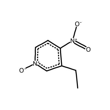 CCc1c[n+]([O-])ccc1[N+](=O)[O-]